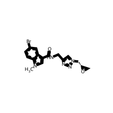 Cn1cc(C(=O)NCc2cn(C[C@@H]3CO3)nn2)c2cc(Br)ccc21